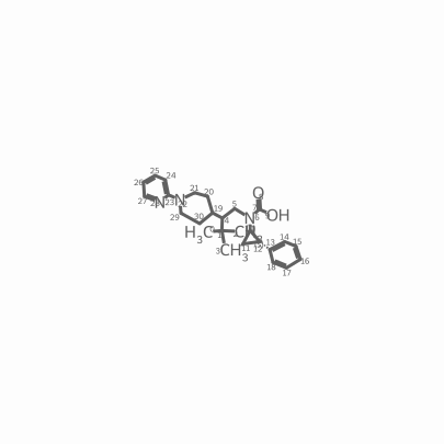 CC(C)(C)C(CN(C(=O)O)[C@@H]1C[C@H]1c1ccccc1)C1CCN(c2ccccn2)CC1